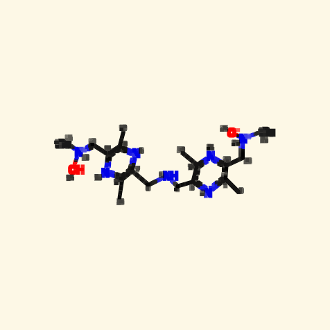 Cc1nc(CNCc2nc(C)c(/C=[N+](\O)C(C)(C)C)nc2C)c(C)nc1/C=[N+](\[O-])C(C)(C)C